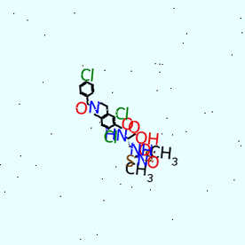 CS/C(=N/S(C)(=O)=O)NC[C@H](NC(=O)c1c(Cl)cc2c(c1Cl)CCN(C(=O)c1ccc(Cl)cc1)C2)C(=O)O